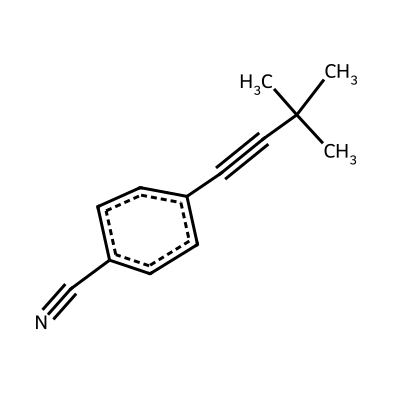 CC(C)(C)C#Cc1ccc(C#N)cc1